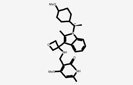 COC1CCC([C@@H](C)n2c(C)c(C3(NCc4c(SC)cc(C)[nH]c4=O)COC3)c3ccccc32)CC1